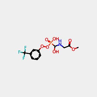 COC(=O)CNC(O)P(=O)(O)OOc1cccc(C(F)(F)F)c1